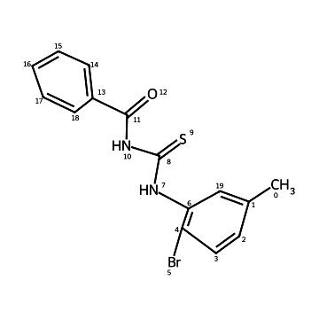 Cc1ccc(Br)c(NC(=S)NC(=O)c2ccccc2)c1